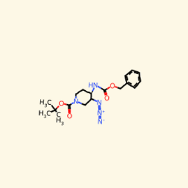 CC(C)(C)OC(=O)N1CC[C@@H](NC(=O)OCc2ccccc2)C(N=[N+]=[N-])C1